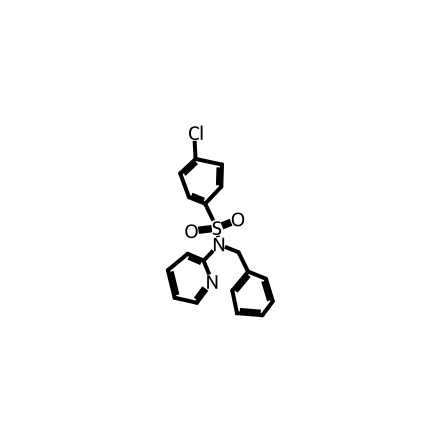 O=S(=O)(c1ccc(Cl)cc1)N(Cc1ccccc1)c1ccccn1